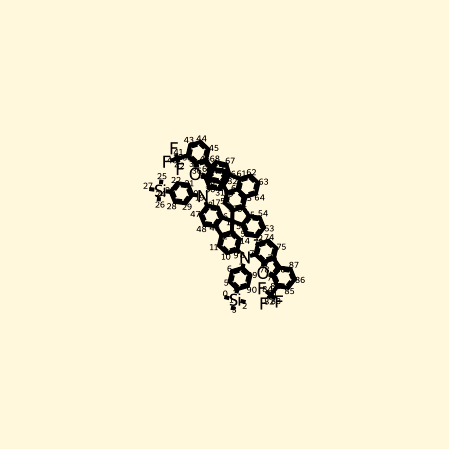 C[Si](C)(C)c1ccc(N(c2ccc3c(c2)C2(c4cc(N(c5ccc([Si](C)(C)C)cc5)c5cccc6c5oc5c(C(F)(F)F)cccc56)ccc4-3)c3ccccc3-c3c2cc2c4c(cccc34)-c3ccccc3-2)c2cccc3c2oc2c(C(F)(F)F)cccc23)cc1